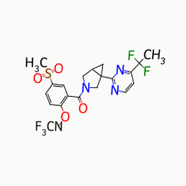 CC(F)(F)c1ccnc(C23CC2CN(C(=O)c2cc(S(C)(=O)=O)ccc2ONC(F)(F)F)C3)n1